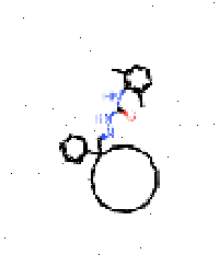 Cc1cccc(C)c1NC(=O)N/N=C/C1(c2ccccc2)CCCCCCCCCCCCCC1